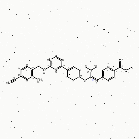 COC(=O)c1ccc(/N=C(/CC2CC=C(c3ccnc(OCc4ccc(C#N)cc4P)n3)CC2)N(C)C)cn1